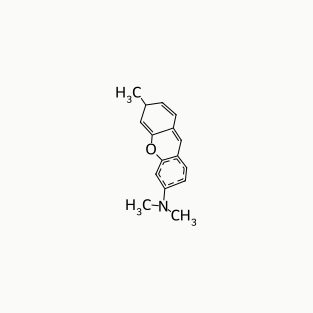 CC1C=CC2=Cc3ccc(N(C)C)cc3OC2=C1